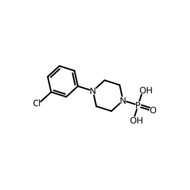 O=P(O)(O)N1CCN(c2cccc(Cl)c2)CC1